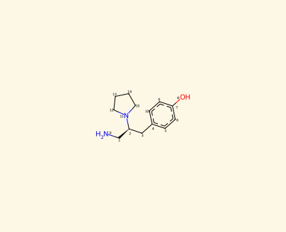 NC[C@H](Cc1ccc(O)cc1)N1CCCC1